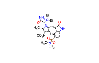 CCN(CC)C(C(N)=O)n1c(C)c(C(=O)O)c(C)c1C=C1C(=O)Nc2ccc(S(=O)(=O)N(C)C)cc21